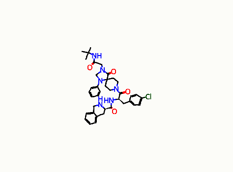 CC(C)(C)NC(=O)CN1CN(c2ccccc2)C2(CCN(C(=O)[C@@H](Cc3ccc(Cl)cc3)NC(=O)[C@H]3Cc4ccccc4CN3)CC2)C1=O